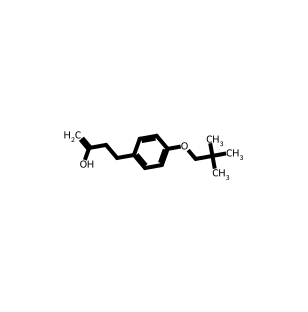 C=C(O)CCc1ccc(OCC(C)(C)C)cc1